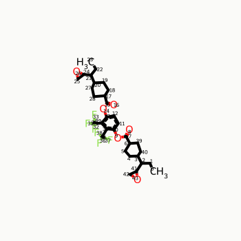 CCC(C1CCC(C(=O)Oc2ccc(OC(=O)C3CCC(C(CC)C4CO4)CC3)c(C(F)(F)F)c2C(F)(F)F)CC1)C1CO1